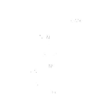 COc1cccc(Cn2cc(OC(=O)Nc3c[nH]c4ncc(Br)cc34)cn2)c1